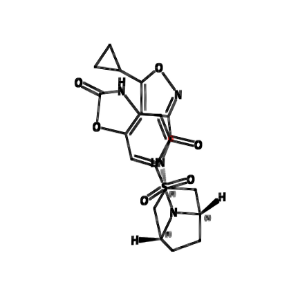 O=C(N[C@H]1C[C@H]2CC[C@@H](C1)N2S(=O)(=O)c1ccc2[nH]c(=O)oc2c1)c1cc(C2CC2)on1